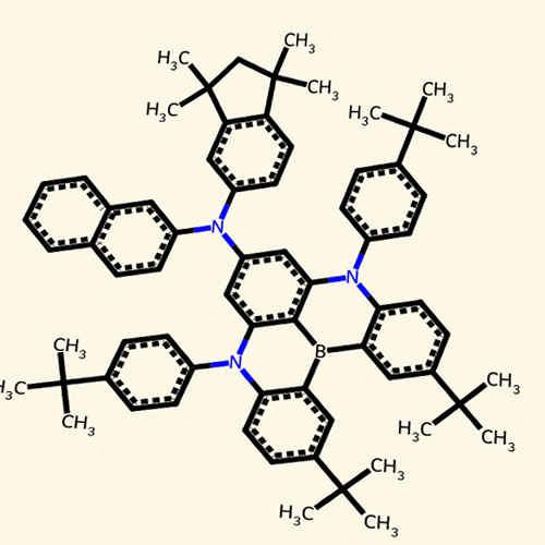 CC(C)(C)c1ccc(N2c3ccc(C(C)(C)C)cc3B3c4cc(C(C)(C)C)ccc4N(c4ccc(C(C)(C)C)cc4)c4cc(N(c5ccc6c(c5)C(C)(C)CC6(C)C)c5ccc6ccccc6c5)cc2c43)cc1